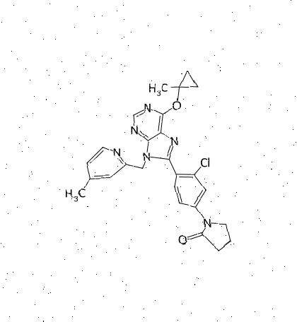 Cc1ccnc(Cn2c(-c3ccc(N4CCCC4=O)cc3Cl)nc3c(OC4(C)CC4)ncnc32)c1